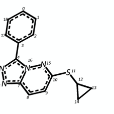 c1ccc(-c2nnc3ccc(SC4CC4)nn23)cc1